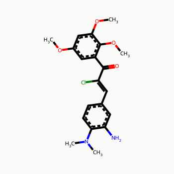 COc1cc(OC)c(OC)c(C(=O)C(Cl)=Cc2ccc(N(C)C)c(N)c2)c1